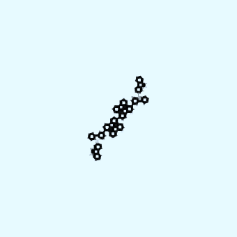 CC1(C)c2ccccc2-c2ccc(-n3c4ccccc4c4cc(-c5ccc6c(c5)C5(c7ccccc7-c7ccccc75)c5cc(-c7ccc8c(c7)C7(c9ccccc9-c9ccccc97)c7cc(-c9ccc%10c(c9)c9ccccc9n%10-c9ccc%10c(c9)C(C)(C)c9ccccc9-%10)ccc7-8)ccc5-6)ccc43)cc21